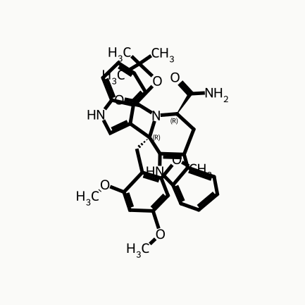 COc1cc(OC)c(C[C@@]2(c3c[nH]c4ccccc34)c3[nH]c4ccccc4c3C[C@H](C(N)=O)N2C(=O)OC(C)(C)C)c(OC)c1